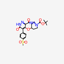 CC(C)(C)OC(=O)N1CCC(Oc2c(C(N)=O)n[nH]c(=O)c2-c2ccc(S(C)(=O)=O)cc2)CC1